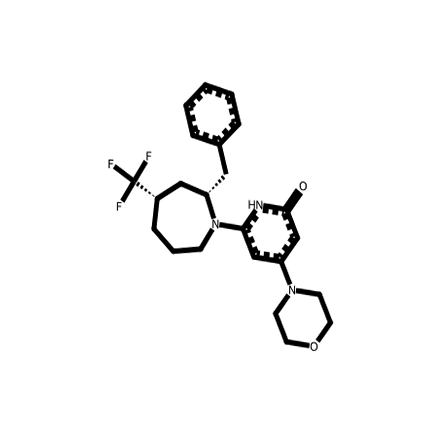 O=c1cc(N2CCOCC2)cc(N2CCC[C@H](C(F)(F)F)C[C@@H]2Cc2ccccc2)[nH]1